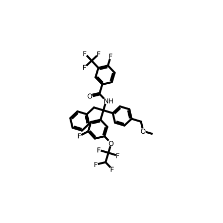 COCc1ccc(C(Cc2ccccc2)(NC(=O)c2ccc(F)c(C(F)(F)F)c2)c2cc(F)cc(OC(F)(F)C(F)F)c2)cc1